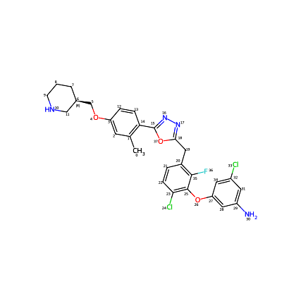 Cc1cc(OC[C@@H]2CCCNC2)ccc1-c1nnc(Cc2ccc(Cl)c(Oc3cc(N)cc(Cl)c3)c2F)o1